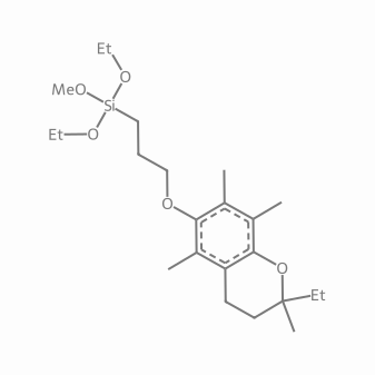 CCO[Si](CCCOc1c(C)c(C)c2c(c1C)CCC(C)(CC)O2)(OC)OCC